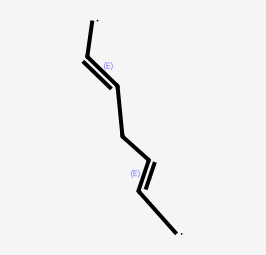 [CH2]/C=C/C/C=C/[CH2]